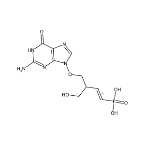 Nc1nc2c(ncn2OCC(/C=C/P(=O)(O)O)CO)c(=O)[nH]1